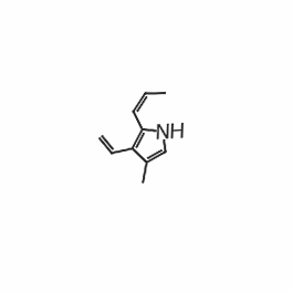 C=Cc1c(C)c[nH]c1/C=C\C